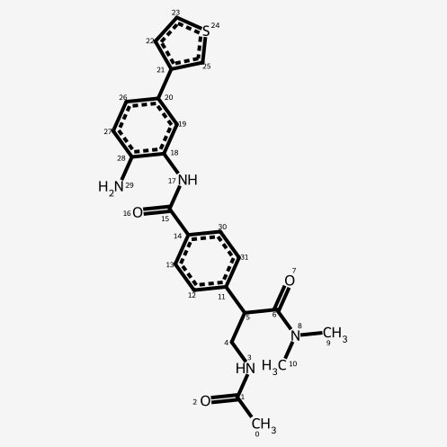 CC(=O)NCC(C(=O)N(C)C)c1ccc(C(=O)Nc2cc(-c3ccsc3)ccc2N)cc1